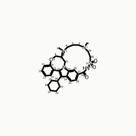 CN1CCCN(C)[C@H]2COc3ccccc3-c3c(C4CCCCC4)c4ccc(cc4n3C2)C(=O)NS(=O)(=O)CC1